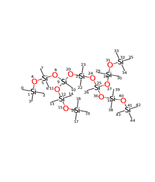 C[Si](C)(C)O[Si](C)(C)O[Si](C)(O[Si](C)(C)O[Si](C)(C)C)O[Si](C)(C)O[Si](C)(O[Si](C)(C)O[Si](C)(C)C)O[Si](C)(C)O[Si](C)(C)C